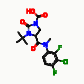 CN(C(=O)C1CN(C(=O)O)C(=O)N1C(C)(C)C)c1ccc(F)c(Cl)c1F